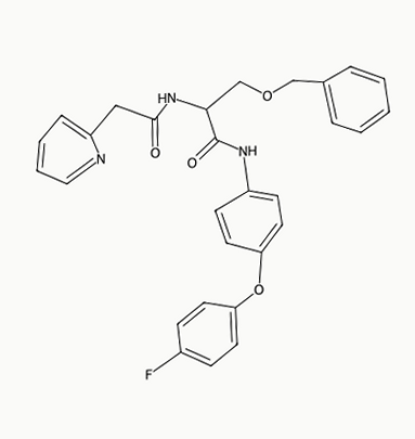 O=C(Cc1ccccn1)NC(COCc1ccccc1)C(=O)Nc1ccc(Oc2ccc(F)cc2)cc1